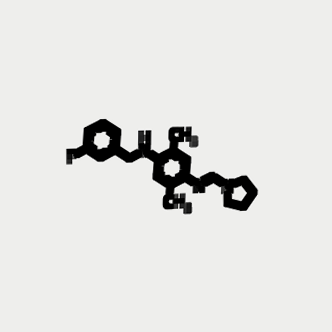 Cc1cc(NCc2cccc(F)c2)c(C)cc1N=CN1CCCC1